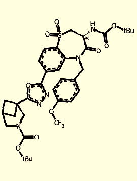 CC(C)(C)OC(=O)N[C@H]1CS(=O)(=O)c2ccc(-c3nnc(C45CC(CN(C(=O)OC(C)(C)C)C4)C5)o3)cc2N(Cc2ccc(OC(F)(F)F)cc2)C1=O